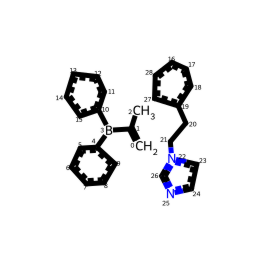 C=C(C)B(c1ccccc1)c1ccccc1.c1ccc(CCn2ccnc2)cc1